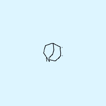 [CH]1[CH]C2CCN(C1)CC2